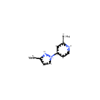 CNc1ccn(-c2ccnc(NC(C)=O)c2)n1